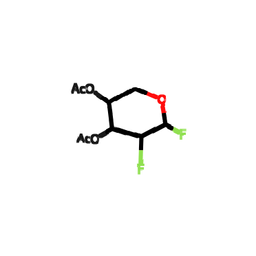 CC(=O)OC1COC(F)C(F)C1OC(C)=O